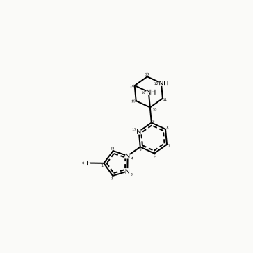 Fc1cnn(-c2cccc(C34CNCC(C3)N4)n2)c1